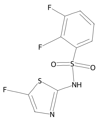 O=S(=O)(Nc1ncc(F)s1)c1cccc(F)c1F